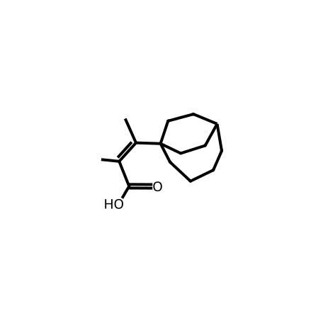 CC(C(=O)O)=C(C)C12CCCCC(CC1)CC2